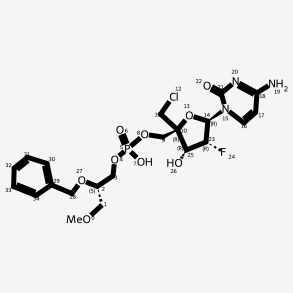 COC[C@@H](COP(=O)(O)OC[C@@]1(CCl)O[C@@H](n2ccc(N)nc2=O)[C@H](F)[C@@H]1O)OCc1ccccc1